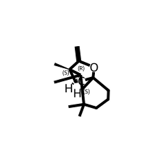 C=C1OC23CCCC(C)(C)[C@@H]2[C@@H](C)[C@]1(C)CC3